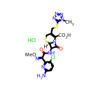 CO/N=C(\C(=O)NC1C(=O)N2C(C(=O)O)=C(CSc3nnnn3C)CS[C@H]12)c1nc(N)ccc1Cl.Cl